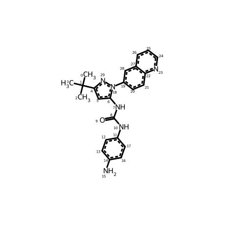 CC(C)(C)c1cc(NC(=O)Nc2ccc(N)cc2)n(-c2ccc3ncccc3c2)n1